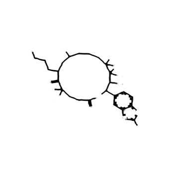 CCCCC1CC(C)CCCC2(C)OC2(O)C(O)C(c2ccc3sc(C)nc3c2)OC(=O)CCC(C)(C)C1=O